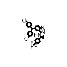 FC(F)(F)c1ccc(C2(Nc3ncnc4ccc(C(c5ccc(Cl)cc5)c5ccc(Cl)cc5)cc34)CC2)cc1